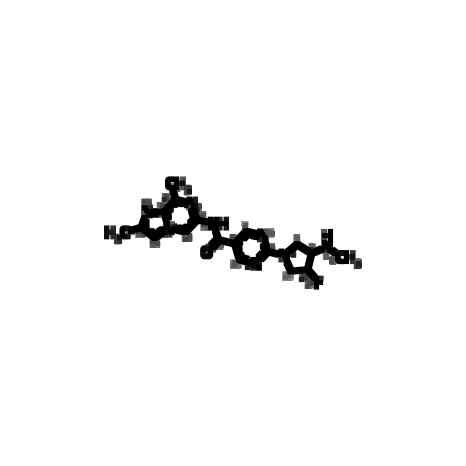 CNC1CN(c2ncc(C(=O)Nc3cn4cc(C)nc4c(C)n3)cn2)CC1F